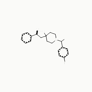 CC(c1ccc(F)cc1)N1CCC(O)(CC(=O)c2ccccc2)CC1